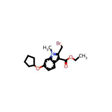 CCOC(=O)c1c(CBr)n(C)c2cc(OC3CCCC3)ccc12